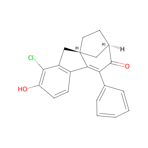 O=C1C(c2ccccc2)=C2c3ccc(O)c(Cl)c3C[C@]23CC[C@@H]1C3